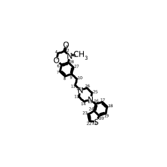 CN1C(=O)COc2ccc(CCN3CCN(c4cccc5sccc45)CC3)cc21